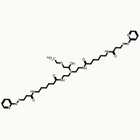 O=C(O)COCC(O)N(CCNC(=O)CCCCCNC(=O)CCSSc1ccccn1)CCNC(=O)CCCCCNC(=O)CCSSc1ccccn1